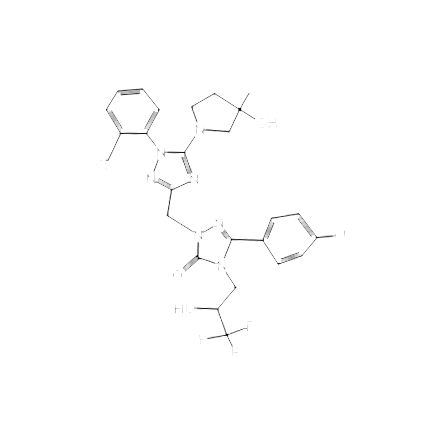 CC1(O)CCN(c2nc(Cn3nc(-c4ccc(Cl)cc4)n(CC(O)C(F)(F)F)c3=O)nn2-c2ccccc2Cl)C1